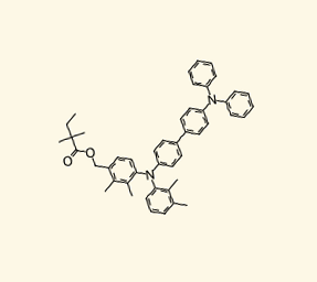 CCC(C)(C)C(=O)OCc1ccc(N(c2ccc(-c3ccc(N(c4ccccc4)c4ccccc4)cc3)cc2)c2cccc(C)c2C)c(C)c1C